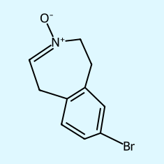 [O-][N+]1=CCc2ccc(Br)cc2CC1